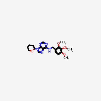 COc1ccc(CNc2ncnc3c2ncn3C2CCCCO2)c(OC)c1OC